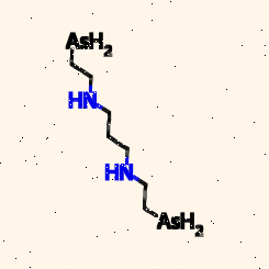 [AsH2]CCNCCCNCC[AsH2]